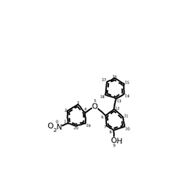 O=[N+]([O-])c1ccc(Oc2cc(O)ccc2-c2ccccc2)cc1